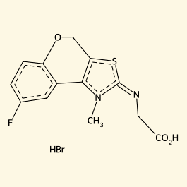 Br.Cn1c2c(sc1=NCC(=O)O)COc1ccc(F)cc1-2